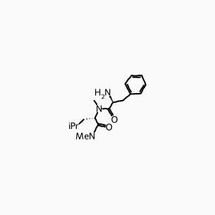 CNC(=O)[C@H](CC(C)C)N(C)C(=O)[C@@H](N)Cc1ccccc1